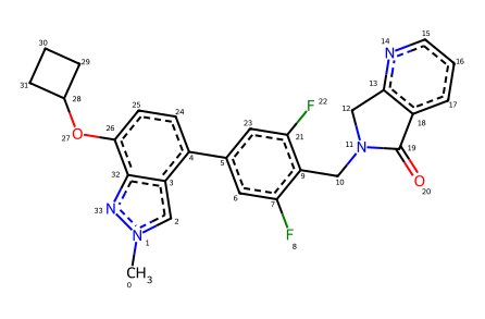 Cn1cc2c(-c3cc(F)c(CN4Cc5ncccc5C4=O)c(F)c3)ccc(OC3CCC3)c2n1